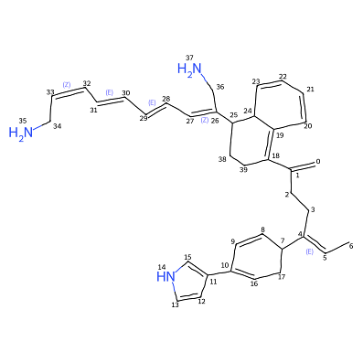 C=C(CC/C(=C\C)C1C=CC(c2cc[nH]c2)=CC1)C1=C2C=CC=CC2C(/C(=C/C=C/C=C/C=C\CN)CN)CC1